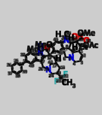 CC[C@]12C=CCN3CC[C@@]4(c5cc([C@@]6(C(=O)OC)C[C@H]7CC(C(C)(F)F)CN(Cc8c6[nH]c6ccc(-c9ccccc9)cc86)C7)c(OC)cc5N(C)[C@H]4[C@@](O)(C(=O)OC)[C@@H]1OC(C)=O)[C@@H]32